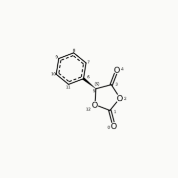 O=C1OC(=O)[C@H](c2ccccc2)O1